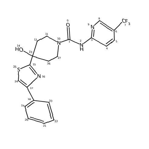 O=C(Nc1ccc(C(F)(F)F)cn1)N1CCC(O)(c2nc(-c3ccccc3)cs2)CC1